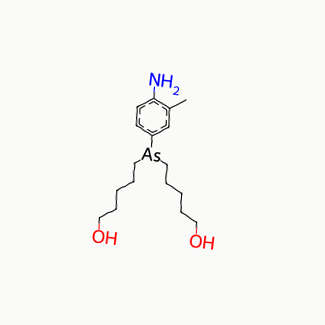 Cc1cc([As](CCCCCO)CCCCCO)ccc1N